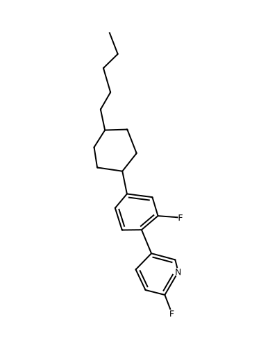 CCCCCC1CCC(c2ccc(-c3ccc(F)nc3)c(F)c2)CC1